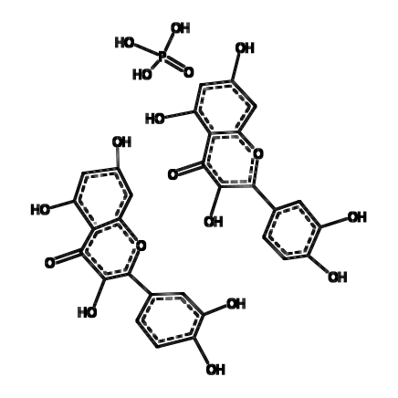 O=P(O)(O)O.O=c1c(O)c(-c2ccc(O)c(O)c2)oc2cc(O)cc(O)c12.O=c1c(O)c(-c2ccc(O)c(O)c2)oc2cc(O)cc(O)c12